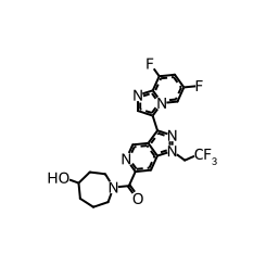 O=C(c1cc2c(cn1)c(-c1cnc3c(F)cc(F)cn13)nn2CC(F)(F)F)N1CCCC(O)CC1